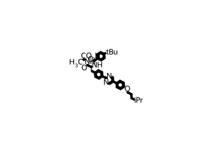 CC(C)CCCOc1ccc(-c2cnc(-c3ccc(C[C@H](NC(=O)c4ccc(C(C)(C)C)cc4)C(=O)N[C@H](C)C(=O)O)cc3)nc2)cc1